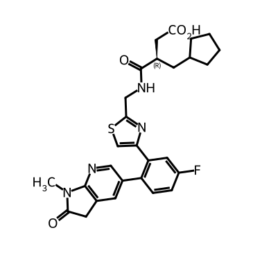 CN1C(=O)Cc2cc(-c3ccc(F)cc3-c3csc(CNC(=O)[C@@H](CC(=O)O)CC4CCCC4)n3)cnc21